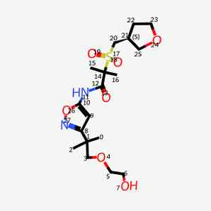 CC(C)(COCCO)c1cc(NC(=O)C(C)(C)S(=O)(=O)C[C@H]2CCOC2)on1